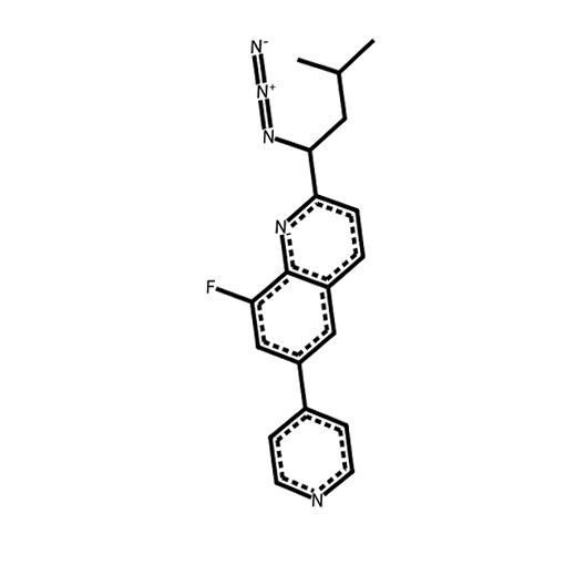 CC(C)CC(N=[N+]=[N-])c1ccc2cc(-c3ccncc3)cc(F)c2n1